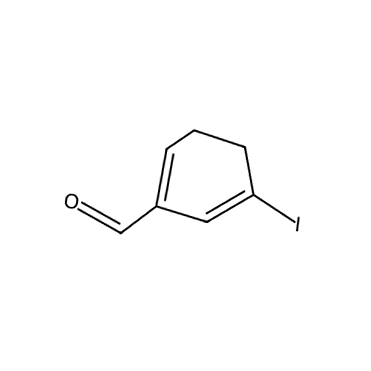 O=CC1=CCCC(I)=C1